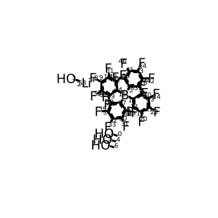 CO.CO.CO.CO.Fc1c(F)c(F)c([B-](c2c(F)c(F)c(F)c(F)c2F)(c2c(F)c(F)c(F)c(F)c2F)c2c(F)c(F)c(F)c(F)c2F)c(F)c1F.[Li+]